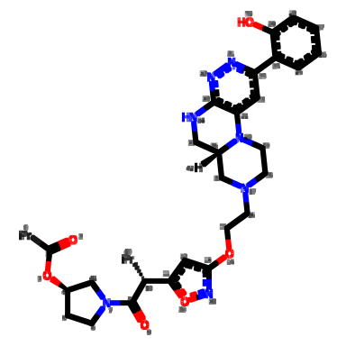 CC(C)C(=O)O[C@@H]1CCN(C(=O)[C@@H](c2cc(OCCN3CCN4c5cc(-c6ccccc6O)nnc5NC[C@H]4C3)no2)C(C)C)C1